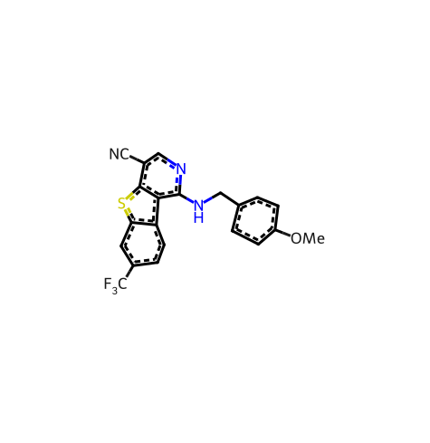 COc1ccc(CNc2ncc(C#N)c3sc4cc(C(F)(F)F)ccc4c23)cc1